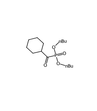 CCCCOP(=O)(OCCCC)C(=O)C1CCCCC1